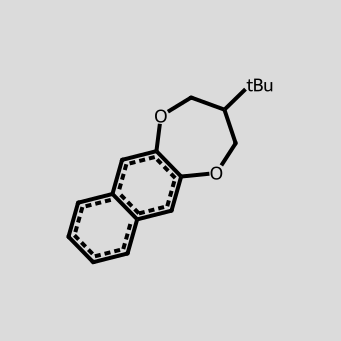 CC(C)(C)C1COc2cc3ccccc3cc2OC1